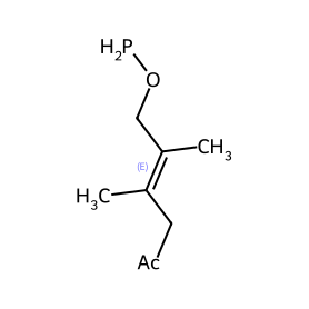 CC(=O)C/C(C)=C(\C)COP